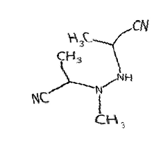 CC(C#N)NN(C)C(C)C#N